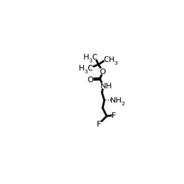 CC(C)(C)OC(=O)NC[C@H](N)CC(F)F